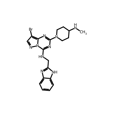 CNC1CCN(c2nc(NCc3nc4ccccc4[nH]3)n3ncc(Br)c3n2)CC1